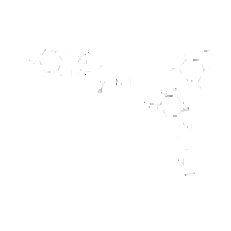 CC(=O)NCCNc1cc(NCCNC(=O)CNC(=O)c2ccc(Cl)cc2)nc(-c2ccc(Cl)cc2)n1